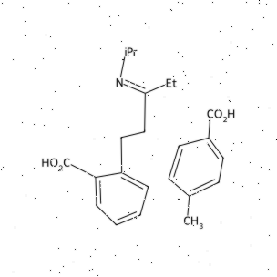 CCC(CCc1ccccc1C(=O)O)=NC(C)C.Cc1ccc(C(=O)O)cc1